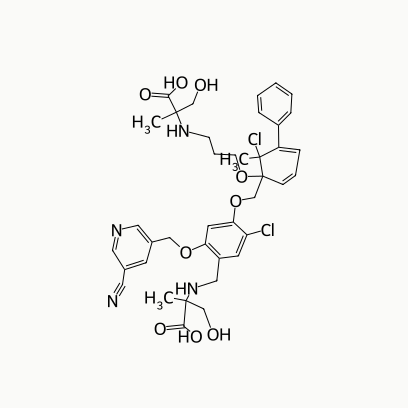 CC(CO)(NCCCOC1(COc2cc(OCc3cncc(C#N)c3)c(CNC(C)(CO)C(=O)O)cc2Cl)C=CC=C(c2ccccc2)C1(C)Cl)C(=O)O